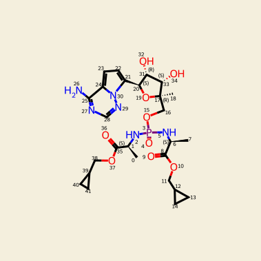 C[C@H](NP(=O)(N[C@@H](C)C(=O)OCC1CC1)OC[C@@]1(C)O[C@@H](c2ccc3c(N)ncnn23)[C@H](O)[C@@H]1O)C(=O)OCC1CC1